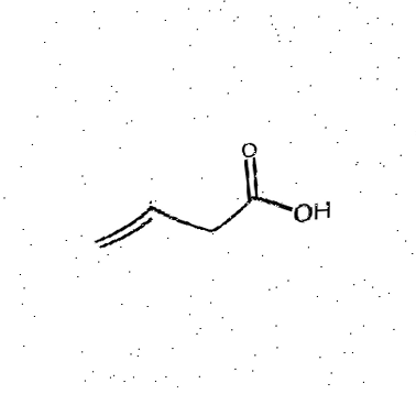 C=[C]CC(=O)O